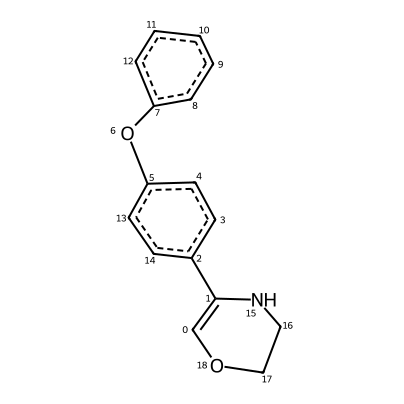 C1=C(c2ccc(Oc3ccccc3)cc2)NCCO1